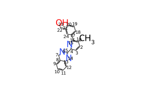 Cc1ccc(-c2ncc3ccccc3n2)nc1-c1cccc(CO)c1